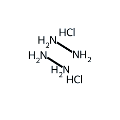 Cl.Cl.NN.NN